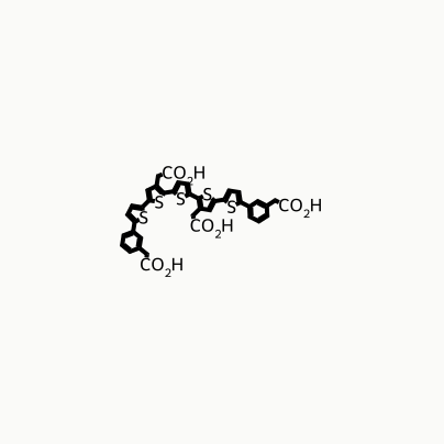 O=C(O)Cc1cccc(-c2ccc(-c3cc(CC(=O)O)c(-c4ccc(-c5sc(-c6ccc(-c7cccc(CC(=O)O)c7)s6)cc5CC(=O)O)s4)s3)s2)c1